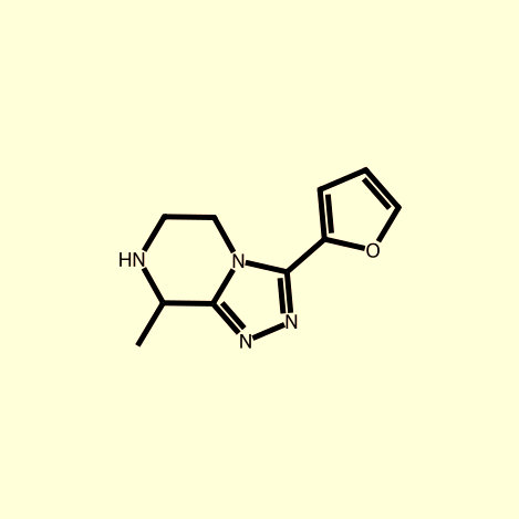 CC1NCCn2c(-c3ccco3)nnc21